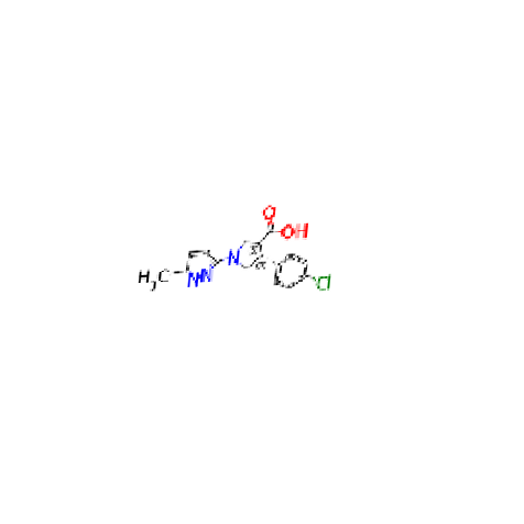 Cc1ccc(N2C[C@@H](C(=O)O)[C@H](c3ccc(Cl)cc3)C2)nn1